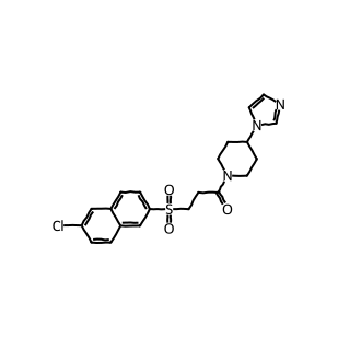 O=C(CCS(=O)(=O)c1ccc2cc(Cl)ccc2c1)N1CCC(n2ccnc2)CC1